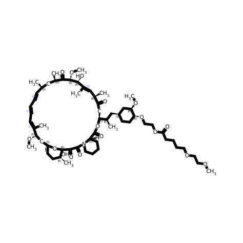 COCCOCCCCC(=O)OCCO[C@@H]1CC[C@@H](C[C@@H](C)[C@@H]2CC(=O)[C@H](C)/C=C(\C)[C@@H](O)[C@@H](OC)C(=O)[C@H](C)C[C@H](C)/C=C/C=C/C=C(\C)[C@@H](OC)C[C@@H]3CC[C@@H](C)[C@@](O)(O3)C(=O)C(=O)N3CCCC[C@H]3C(=O)O2)C[C@H]1OC